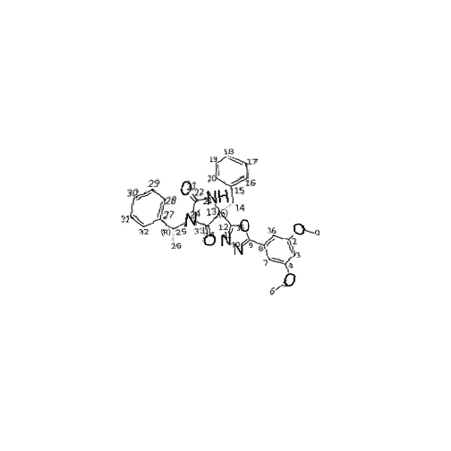 COc1cc(OC)cc(-c2nnc([C@]3(Cc4ccccc4)NC(=O)N([C@H](C)c4ccccc4)C3=O)o2)c1